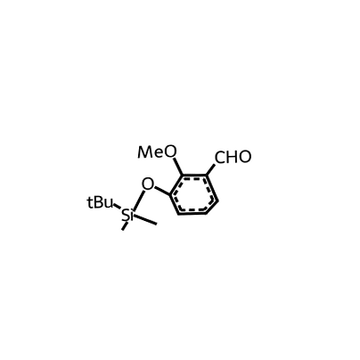 COc1c(C=O)cccc1O[Si](C)(C)C(C)(C)C